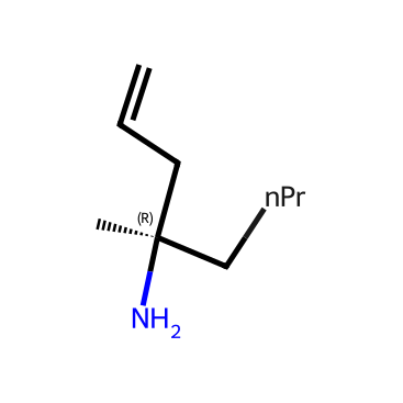 C=CC[C@](C)(N)CCCC